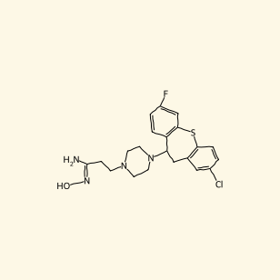 NC(CCN1CCN(C2Cc3cc(Cl)ccc3Sc3cc(F)ccc32)CC1)=NO